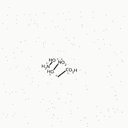 CC(=O)O.NO.O=[N+]([O-])O